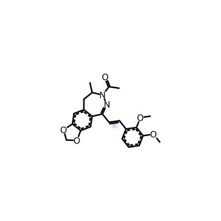 COc1cccc(/C=C/C2=NN(C(C)=O)C(C)Cc3cc4c(cc32)OCO4)c1OC